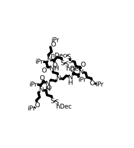 CCCCCCCCCCSSCCC(=O)N(CCCOC(C)C)C(C(=O)NCCN(CCNC(=O)C(C(C)C)N(CCCOC(C)C)C(=O)CCSSCCCCCCCCCC)CCNC(=O)C(C(C)C)N(CCCOC(C)C)C(=O)CCSSCCCCCCCCCC)C(C)C